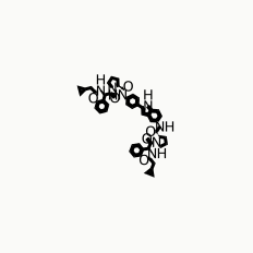 O=C(CC1CC1)N[C@@H](C(=O)N1CCC[C@H]1C(=O)Nc1ccc(-c2cc3cc(NC(=O)[C@@H]4CCCN4C(=O)[C@H](NC(=O)CC4CC4)c4ccccc4)ccc3[nH]2)cc1)c1ccccc1